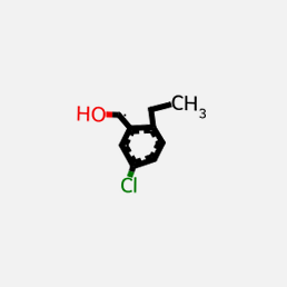 CCc1ccc(Cl)cc1[CH]O